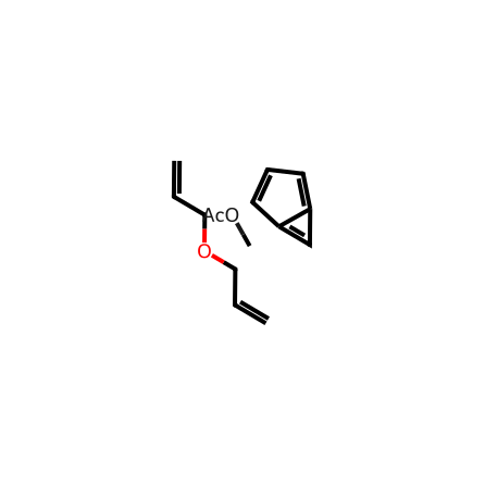 C=CCOCC=C.COC(C)=O.c1cc2cc-2c1